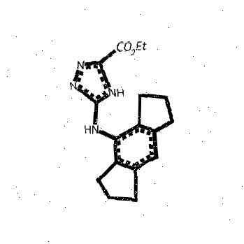 CCOC(=O)c1nnc(Nc2c3c(cc4c2CCC4)CCC3)[nH]1